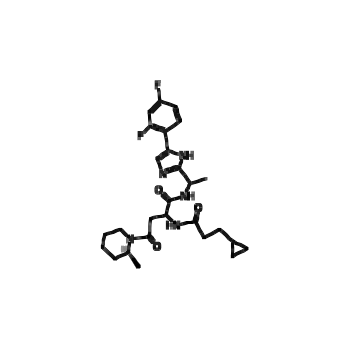 CC(NC(=O)C(CC(=O)N1CCCC[C@@H]1C)NC(=O)CCC1CC1)c1ncc(-c2ccc(F)cc2F)[nH]1